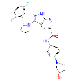 O=C(Nc1ccc(N2CCC(O)C2)cc1)c1cnc2[nH]nc(N3CCC[C@@H]3c3cc(F)ccc3F)c2c1